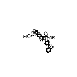 CNC(=O)c1c2cc(C3CC3)c(N(CCCO)S(C)(=O)=O)cc2nn1-c1ccc(Oc2ccccc2F)cc1